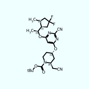 C[C@H](Oc1cc(O[C@H]2CCN(C(=O)OC(C)(C)C)[C@H](CC#N)C2)nc(C#N)n1)[C@@H]1CC(F)(F)CN1C